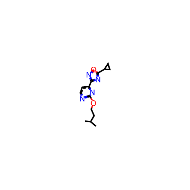 CC(C)CCOc1nccc(-c2noc(C3CC3)n2)n1